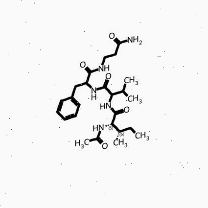 CC[C@H](C)[C@H](NC(C)=O)C(=O)NC(C(=O)NC(Cc1ccccc1)C(=O)NCCC(N)=O)C(C)C